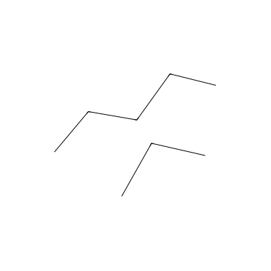 CCC.CCCCC